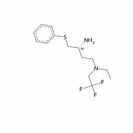 CCN(CC[C@@H](N)CSc1ccccc1)CC(F)(F)F